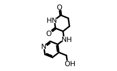 O=C1CCC(Nc2cnccc2CO)C(=O)N1